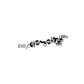 CCOC(=O)c1cnc(N2CCN(CCCC(=O)N3CCN(c4ncc(CN(C(=O)OC(C)(C)C)C(=O)OC(C)(C)C)cn4)CC3)CC2)nc1